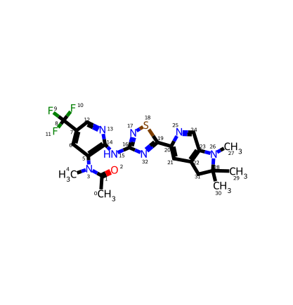 CC(=O)N(C)c1cc(C(F)(F)F)cnc1Nc1nsc(-c2cc3c(cn2)N(C)C(C)(C)C3)n1